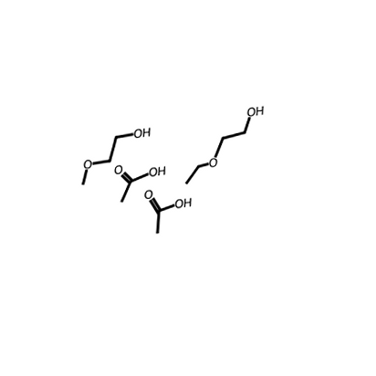 CC(=O)O.CC(=O)O.CCOCCO.COCCO